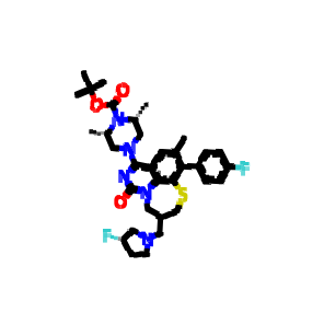 Cc1cc2c(N3C[C@@H](C)N(C(=O)OC(C)(C)C)[C@@H](C)C3)nc(=O)n3c2c(c1-c1ccc(F)cc1)SCC(CN1CC[C@H](F)C1)C3